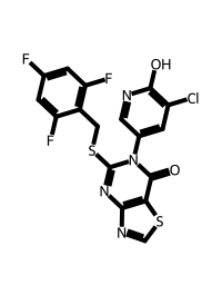 O=c1c2scnc2nc(SCc2c(F)cc(F)cc2F)n1-c1cnc(O)c(Cl)c1